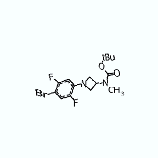 CN(C(=O)OC(C)(C)C)C1CN(c2cc(F)c(Br)cc2F)C1